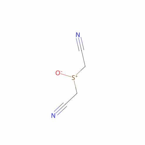 N#CC[S+]([O-])CC#N